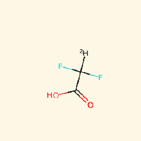 [2H]C(F)(F)C(=O)O